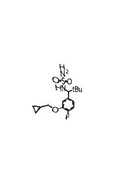 CC(C)(C)C(NS(N)(=O)=O)c1ccc(F)c(OCC2CC2)c1